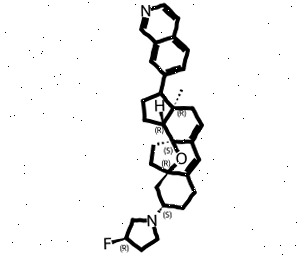 C[C@]12CC=C3C=C4CC[C@H](N5CC[C@@H](F)C5)C[C@]45CC[C@]3(O5)[C@@H]1CCC2c1ccc2ccncc2c1